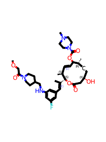 COCC(=O)N1CCC(CNc2cc(F)cc(/C=C(\C)[C@H]3OC(=O)C[C@@H](O)CC[C@@H](C)C(OC(=O)N4CCN(C)CC4)/C=C/[C@@H]3C)c2)CC1